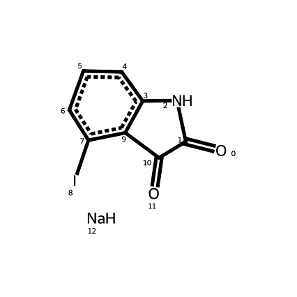 O=C1Nc2cccc(I)c2C1=O.[NaH]